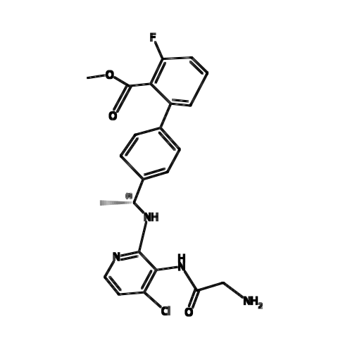 COC(=O)c1c(F)cccc1-c1ccc([C@@H](C)Nc2nccc(Cl)c2NC(=O)CN)cc1